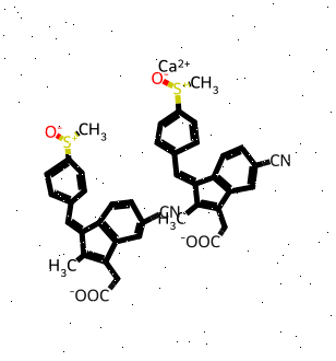 CC1=C(CC(=O)[O-])c2cc(C#N)ccc2C1=Cc1ccc([S+](C)[O-])cc1.CC1=C(CC(=O)[O-])c2cc(C#N)ccc2C1=Cc1ccc([S+](C)[O-])cc1.[Ca+2]